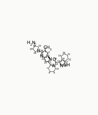 Cc1cn2nc([C@@H]3CCCCN3C(=O)c3n[nH]c4c3CCCC4)cc2nc1N1CC[C@H](N)C1